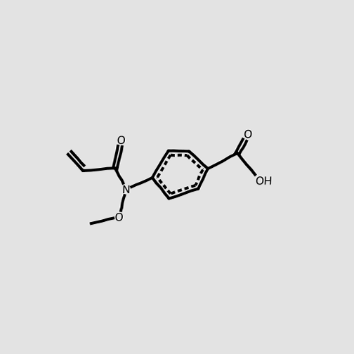 C=CC(=O)N(OC)c1ccc(C(=O)O)cc1